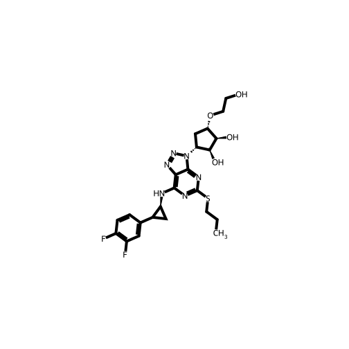 CCCSc1nc(N[C@H]2CC2c2ccc(F)c(F)c2)c2nnn([C@@H]3C[C@H](OCCO)[C@@H](O)[C@H]3O)c2n1